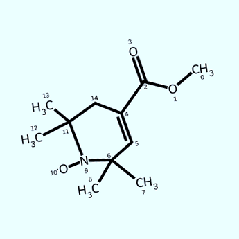 COC(=O)C1=CC(C)(C)N([O])C(C)(C)C1